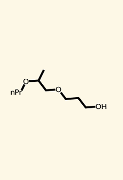 CCCOC(C)COCCCO